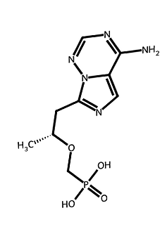 C[C@H](Cc1ncc2c(N)ncnn12)OCP(=O)(O)O